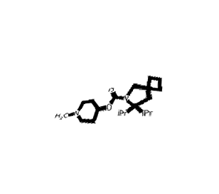 CC(C)C1(C(C)C)CC2(CCC2)CN1C(=O)OC1CCN(C)CC1